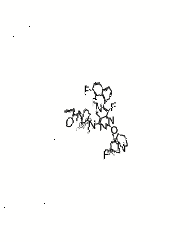 C=CC(=O)N1CC[C@H](N(C)c2nc(OC[C@@]34CCCN3C[C@H](F)C4)nc3c(F)c(-c4cccc5ccc(F)c(F)c45)ncc23)[C@@H]1C